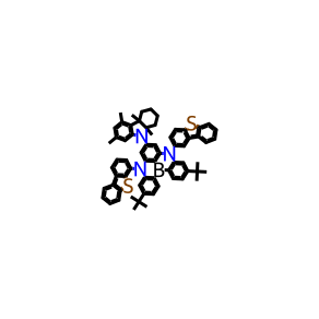 Cc1cc(C)c2c(c1)N(c1cc3c4c(c1)N(c1cccc5c1sc1ccccc15)c1cc(C(C)(C)C)ccc1B4c1ccc(C(C)(C)C)cc1N3c1ccc3sc4ccccc4c3c1)C1(C)CCCCC21C